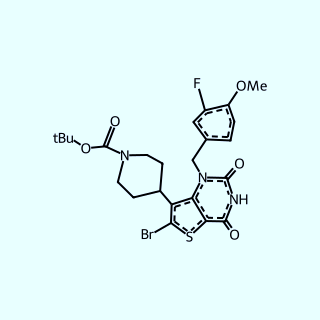 COc1ccc(Cn2c(=O)[nH]c(=O)c3sc(Br)c(C4CCN(C(=O)OC(C)(C)C)CC4)c32)cc1F